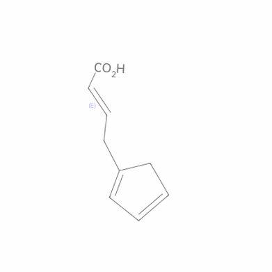 O=C(O)/C=C/CC1=CC=CC1